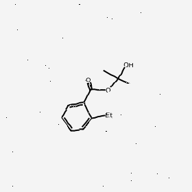 CCc1ccccc1C(=O)OC(C)(C)O